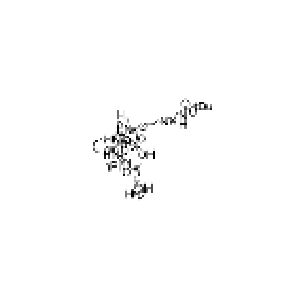 CCC[C@@H](C(=O)N[C@H](C(=O)N[C@@H](CN)C(=O)N[C@@H](COCCCNCCCNC(=O)OC(C)(C)C)C(=O)N[C@H](C)CO)C1CCCCCC1)N(C)C(=O)[C@H](C)CC[C@@H]1C[C@@H]2CC[C@@H](C2)C1